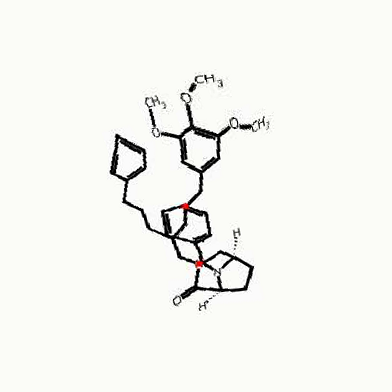 COc1cc(CCCC(CCCc2ccccc2)CN2C[C@H]3CC[C@@H](C2=O)N3Cc2ccccc2)cc(OC)c1OC